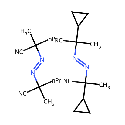 CC(C#N)(N=NC(C)(C#N)C1CC1)C1CC1.CCCC(C)(C#N)N=NC(C)(C#N)CCC